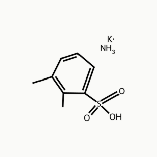 Cc1cccc(S(=O)(=O)O)c1C.N.[K]